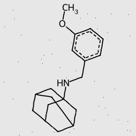 COc1cccc(CNC23CC4CC(CC(C4)C2)C3)c1